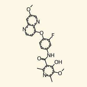 COc1cnc2c(Oc3ccc(NC(=O)c4c(C)nc(C)c(OC)c4O)cc3F)ccnc2c1